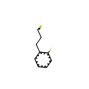 Fc1ccccc1CC[C]=S